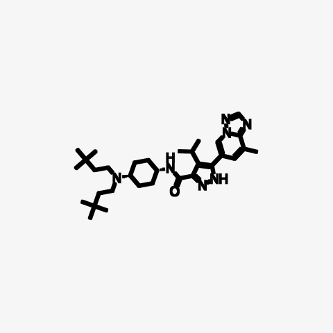 Cc1cc(-c2[nH]nc(C(=O)N[C@H]3CC[C@@H](N(CCC(C)(C)C)CCC(C)(C)C)CC3)c2C(C)C)cn2ncnc12